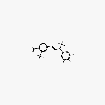 O=C(O)c1ccc(C=CC(c2cc(Cl)c(Cl)c(Br)c2)C(F)(F)F)cc1C(F)(F)F